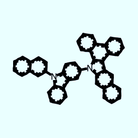 c1ccc2cc(-n3c4ccccc4c4cc(-n5c6cc7ccccc7cc6c6c7ccccc7c7ccccc7c65)ccc43)ccc2c1